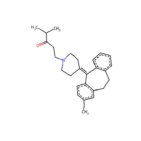 Cc1ccc2c(c1)CCc1ccccc1C2=C1CCN(CCC(=O)C(C)C)CC1